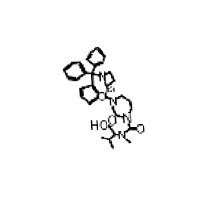 CC(C)C(C(=O)O)N(C)C(=O)N1CCCN(C(=O)[C@@H]2CCN2C(c2ccccc2)(c2ccccc2)c2ccccc2)CC1